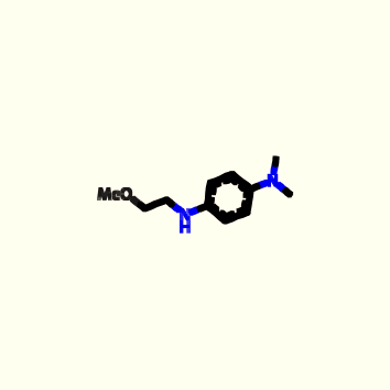 COCCNc1ccc(N(C)C)cc1